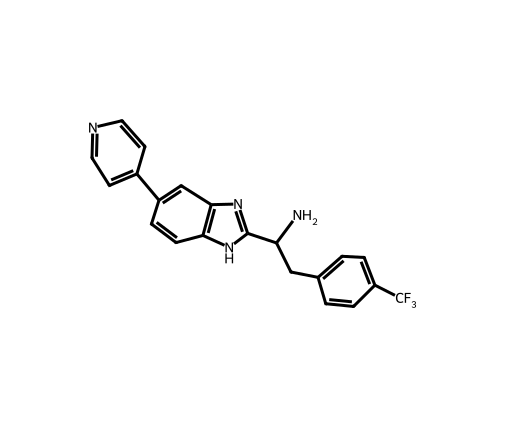 NC(Cc1ccc(C(F)(F)F)cc1)c1nc2cc(-c3ccncc3)ccc2[nH]1